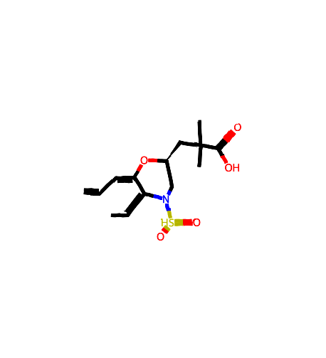 C=C/C=C1/O[C@@H](CC(C)(C)C(=O)O)CN([SH](=O)=O)/C1=C/C